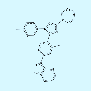 Cc1ccc(-n2cc(-c3ccccn3)nc2-c2ccc(-n3ccc4cccnc43)cc2C)cn1